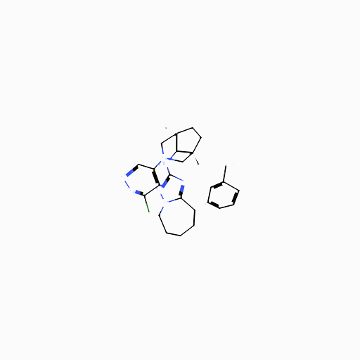 FC(F)(F)c1cccc([C@@H]2CCCCn3nc(NC4[C@@H]5CC[C@@H]4CN(c4cnnc(Cl)c4)C5)nc32)c1